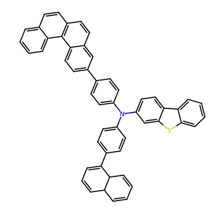 C1=CC2C=CC=C(c3ccc(N(c4ccc(-c5ccc6c(ccc7ccc8ccccc8c76)c5)cc4)c4ccc5c(c4)sc4ccccc45)cc3)C2C=C1